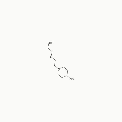 CC(C)C1CCN(CCOCCO)CC1